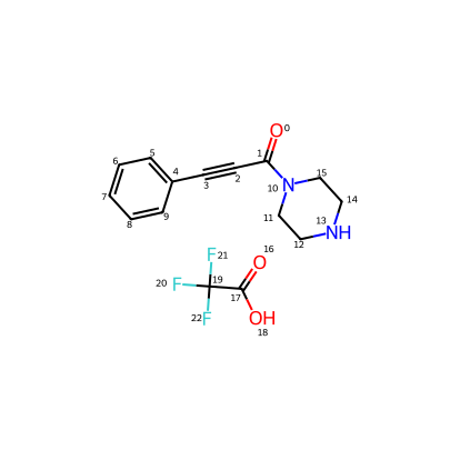 O=C(C#Cc1ccccc1)N1CCNCC1.O=C(O)C(F)(F)F